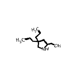 C=CCC1(CC=C)CNC(CO)C1